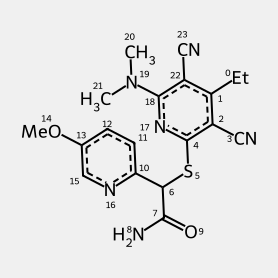 CCc1c(C#N)c(SC(C(N)=O)c2ccc(OC)cn2)nc(N(C)C)c1C#N